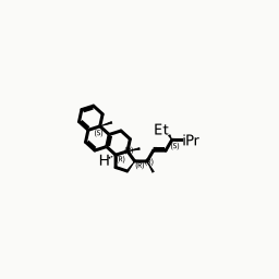 CC[C@H](C=C[C@@H](C)[C@H]1CC[C@H]2C3=C(CC[C@]12C)[C@@]1(C)CC=CC=C1C=C3)C(C)C